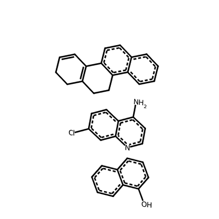 C1=CC2=C(CC1)CCc1c2ccc2ccccc12.Nc1ccnc2cc(Cl)ccc12.Oc1cccc2ccccc12